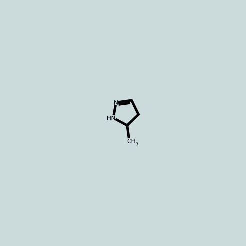 CC1CC=NN1